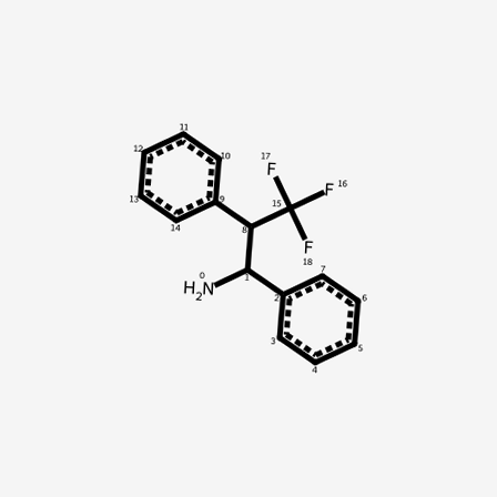 NC(c1ccccc1)C(c1ccccc1)C(F)(F)F